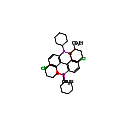 CCOC(=O)COc1c(Cl)ccc(P(C2CCCCC2)C2CCCCC2)c1-c1c(P(C2CCCCC2)C2CCCCC2)ccc(Cl)c1OCC(=O)OCC